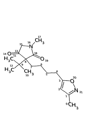 Cc1cc(CCCCC2(C(C)(C)C)C(=O)CN(C)C2=O)on1